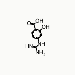 N=C(N)Nc1ccc(C(=O)O)c(O)c1